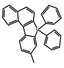 Cc1ccc2c(c1)[Si](c1ccccc1)(c1ccccc1)c1ccc3ccccc3c1-2